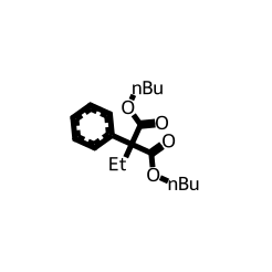 CCCCOC(=O)C(CC)(C(=O)OCCCC)c1ccccc1